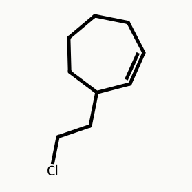 ClCCC1C=CCCCC1